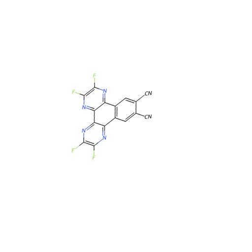 N#Cc1cc2c(cc1C#N)c1nc(F)c(F)nc1c1nc(F)c(F)nc21